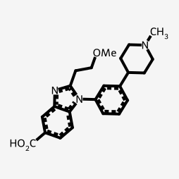 COCCc1nc2cc(C(=O)O)ccc2n1-c1cccc(C2CCN(C)CC2)c1